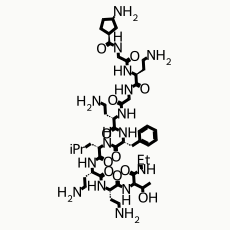 CCNC(=O)C(NC(=O)[C@H](CCN)NC(=O)[C@H](CCN)NC(=O)[C@H](CC(C)C)NC(=O)[C@@H](Cc1ccccc1)NC(=O)[C@H](CCN)NC(=O)CNC(=O)[C@H](CCN)NC(=O)CNC(=O)[C@H]1CC[C@@H](N)C1)C(C)O